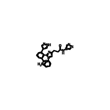 NC(=O)c1cccc(-c2cn[nH]c2)c1-c1nc(CCC(=O)Nn2cnnc2)cn1-c1ccccc1